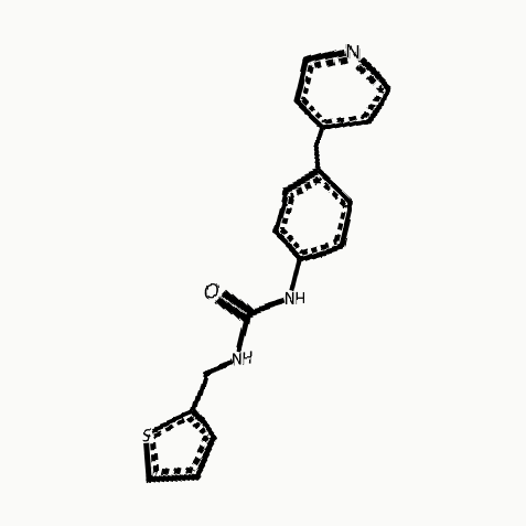 O=C(NCc1cccs1)Nc1ccc(-c2ccncc2)cc1